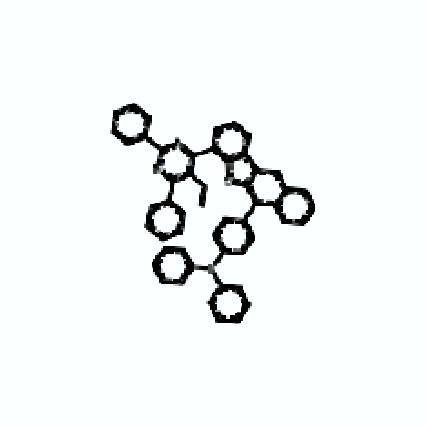 C=Cc1c(-c2ccccc2)nc(-c2ccccc2)nc1-c1cccc2c1oc1c(-c3ccc(N(c4ccccc4)c4ccccc4)cc3)c3ccccc3cc12